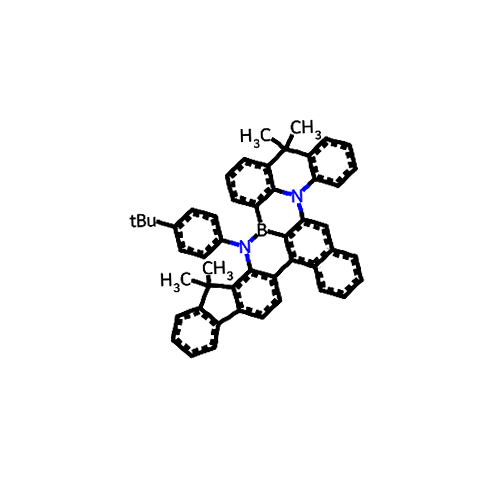 CC(C)(C)c1ccc(N2B3c4cccc5c4N(c4ccccc4C5(C)C)c4cc5ccccc5c(c43)-c3ccc4c(c32)C(C)(C)c2ccccc2-4)cc1